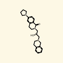 O=C1c2ccc(N3CCCC3)cc2CCN1C[C@H](O)CN1CCc2ccccc2C1